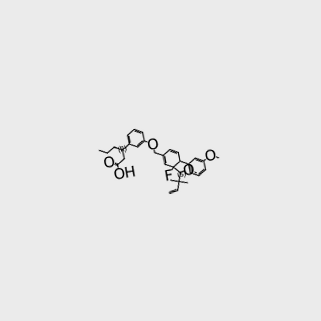 C=CC(C)(C)[C@H](OC)C1(F)C=C(COc2cccc([C@H](CCC)CC(=O)O)c2)C=CC1c1cccc(OC)c1